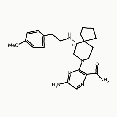 COc1ccc(CCN[C@H]2CN(c3nc(N)cnc3C(N)=O)CCC23CCCC3)cc1